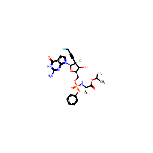 CC(C)OC(=O)[C@H](C)NP(=O)(OC[C@H]1O[C@@H](n2ccc3c(=O)[nH]c(N)nc32)[C@@](Cl)(C#CCF)C1O)Oc1ccccc1